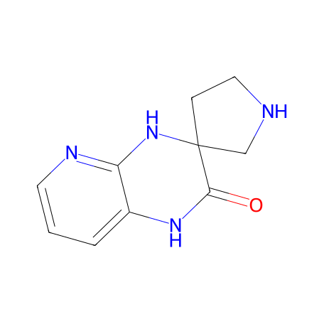 O=C1Nc2cccnc2NC12CCNC2